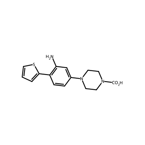 Nc1cc(N2CCN(C(=O)O)CC2)ccc1-c1cccs1